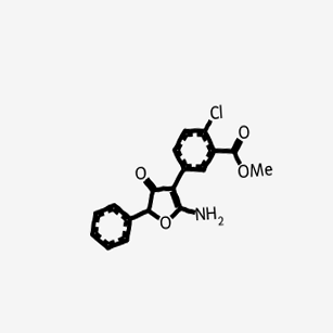 COC(=O)c1cc(C2=C(N)OC(c3ccccc3)C2=O)ccc1Cl